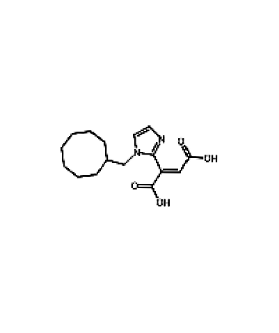 O=C(O)/C=C(/C(=O)O)c1nccn1CC1CCCCCCC1